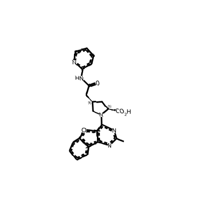 Cc1nc(N2C[C@@H](CC(=O)Nc3ccccn3)C[C@H]2C(=O)O)c2oc3ccccc3c2n1